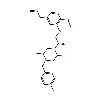 C=CCc1ccc(OCC)c(OCC(=O)N2CC(C)N(Cc3ccc(F)cc3)CC2C)c1